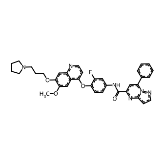 COc1cc2c(Oc3ccc(NC(=O)c4cc(-c5ccccc5)n5nccc5n4)cc3F)ccnc2cc1OCCCN1CCCC1